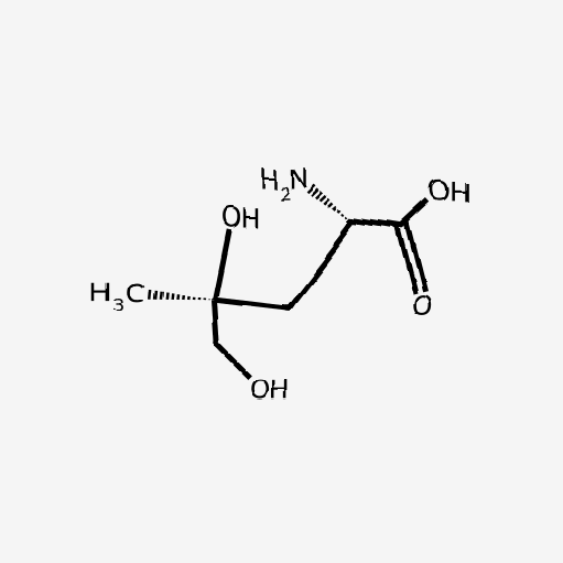 C[C@@](O)(CO)C[C@H](N)C(=O)O